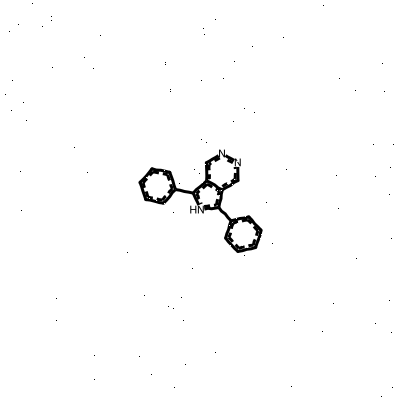 c1ccc(-c2[nH]c(-c3ccccc3)c3cnncc23)cc1